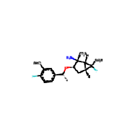 COc1cc([C@@H](C)O[C@@H]2C[C@@H]3[C@H]([C@]2(N)C(=O)O)[C@@]3(F)C(=O)O)ccc1F